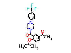 CC(=O)c1ccc(OC(C)C)c(C(=O)N2CCN(c3ccc(C(F)(F)F)cc3)CC2)c1